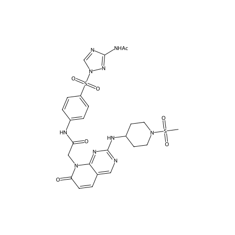 CC(=O)Nc1ncn(S(=O)(=O)c2ccc(NC(=O)Cn3c(=O)ccc4cnc(NC5CCN(S(C)(=O)=O)CC5)nc43)cc2)n1